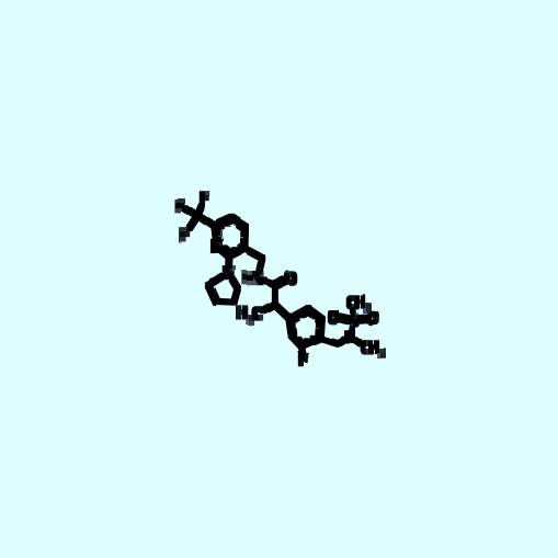 CC(C(=O)NCc1ccc(C(F)(F)F)nc1N1CCCC1)c1ccc(CN(C)S(C)(=O)=O)c(F)c1